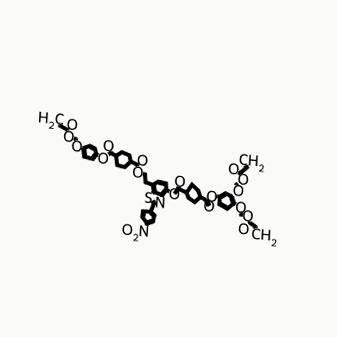 C=CC(=O)OCOc1ccc(OC(=O)C2CCC(C(=O)OCCc3ccc(OC(=O)C4CCC(C(=O)Oc5ccc(OCOC(=O)C=C)c(OCOC(=O)C=C)c5)CC4)c4nc(-c5ccc([N+](=O)[O-])cc5)sc34)CC2)cc1